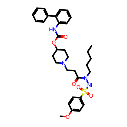 CCCCCN(NS(=O)(=O)c1ccc(OC)cc1)C(=O)CCN1CCC(OC(=O)Nc2ccccc2-c2ccccc2)CC1